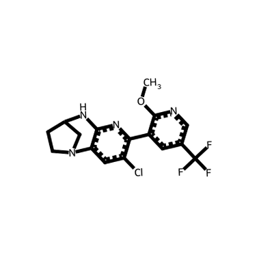 COc1ncc(C(F)(F)F)cc1-c1nc2c(cc1Cl)N1CCC(C1)N2